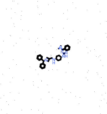 CN(C)c1nc(N[C@H]2CC[C@@H](NCC3CN(C(c4ccccc4)c4ccccc4)C3)CC2)nc2ccccc12